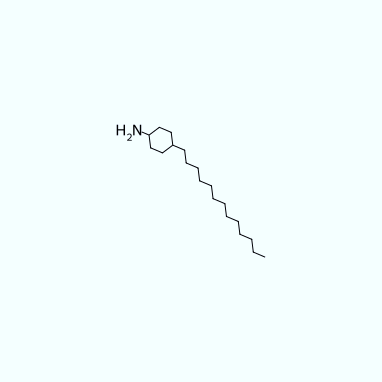 CCCCCCCCCCCCCC1CCC(N)CC1